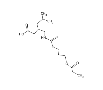 CCC(=O)OCCCOC(=O)NCC(CC(=O)O)CC(C)C